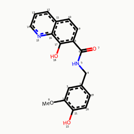 COc1cc(CNC(=O)c2ccc3cccnc3c2O)ccc1O